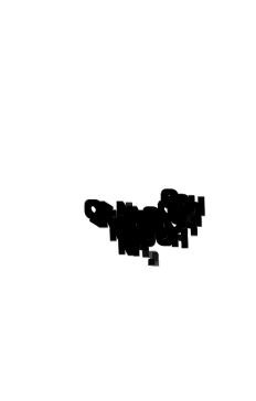 Nc1nc(N2CCOCC2)c2ncn([C@@H]3O[C@H](C(O)OP(=O)(O)O)[C@@H](O)[C@H]3O)c2n1